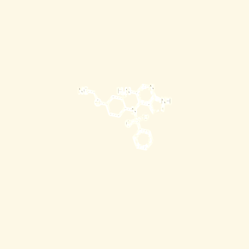 N#CCOC1CCC(N(c2c(N)cnc3[nH]ccc23)S(=O)(=O)c2ccccc2)CC1